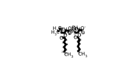 CCCCCC=CC(=O)OC(CC(=O)[O-])C[N+](C)(C)C.CCCCCCCC(=O)OC(CC(=O)[O-])C[N+](C)(C)C